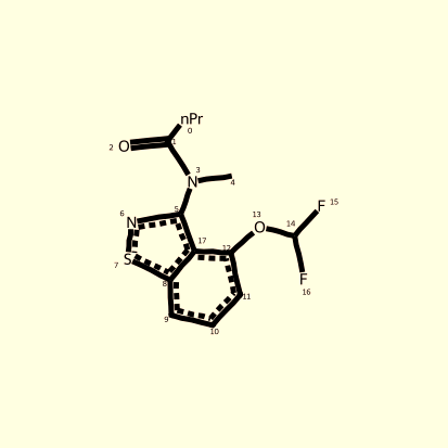 CCCC(=O)N(C)c1nsc2cccc(OC(F)F)c12